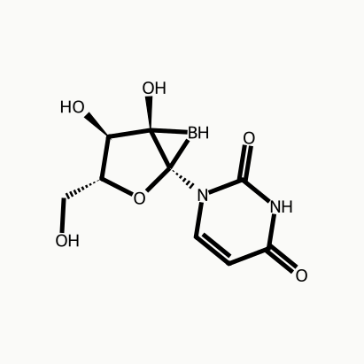 O=c1ccn([C@@]23B[C@@]2(O)[C@H](O)[C@@H](CO)O3)c(=O)[nH]1